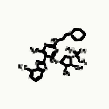 Cc1nc(NCCN2CCCCC2)nc(N[C@@H]2C[C@H](C(C)(C)O)[C@@H](O)[C@H]2O)c1-c1nc2c(C)nccc2s1